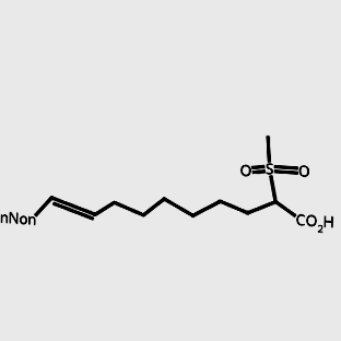 CCCCCCCCCC=CCCCCCCC(C(=O)O)S(C)(=O)=O